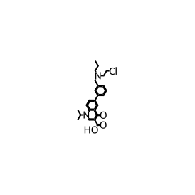 CCCN(CCCl)Cc1cccc(-c2ccc3c(c2)c(=O)c(C(=O)O)cn3C(C)C)c1